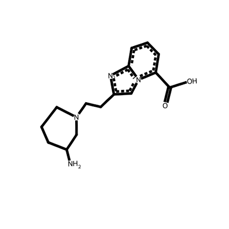 NC1CCCN(CCc2cn3c(C(=O)O)cccc3n2)C1